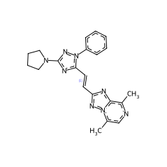 Cc1ncc(C)n2nc(/C=C/c3nc(N4CCCC4)nn3-c3ccccc3)nc12